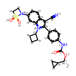 C[C@@H](OC(=O)Nc1ccc(-c2c(C#N)c3ccc(N4CCS4(=O)=O)cc3n2C2CCC2)cc1)C1CC1